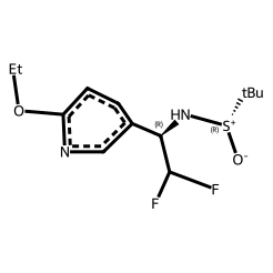 CCOc1ccc([C@@H](N[S@@+]([O-])C(C)(C)C)C(F)F)cn1